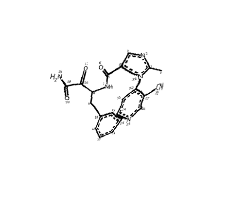 Cc1ncc(C(=O)NC(Cc2ccccc2)C(=O)C(N)=O)n1-c1ccncc1C#N